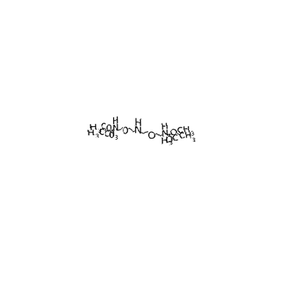 CC(C)(C)OC(=O)NCCOCCNCCOCCNC(=O)OC(C)(C)C